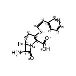 NC1C(=O)N2C(C(=O)O)=C(S/C=C\c3cccnc3)CS[C@H]12